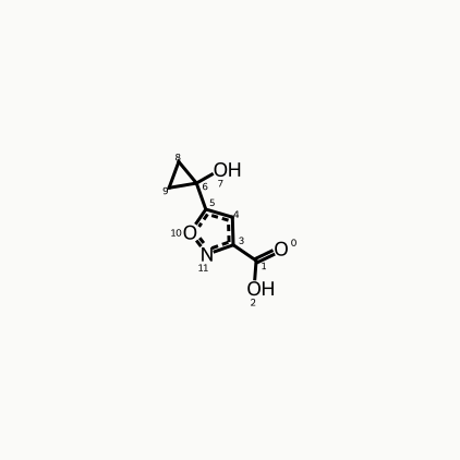 O=C(O)c1cc(C2(O)CC2)on1